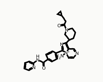 N[N+]12C=CN=CC1=C(C1CCCN(C(=O)CC3CC3)C1)N=C2c1ccc(C(=O)Nc2ccccn2)cc1